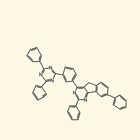 c1ccc(-c2ccc3c(c2)-c2nc(-c4ccccc4)nc(-c4cccc(-c5nc(-c6ccccc6)nc(-c6ccccc6)n5)c4)c2C3)cc1